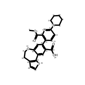 COC(=O)c1nc(N2CCCCC2)ccc1-c1cc2c(cc1C(=O)O)-c1sccc1CCO2